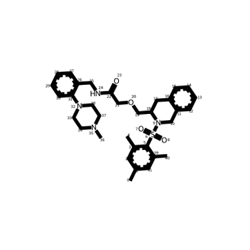 Cc1cc(C)c(S(=O)(=O)N2Cc3ccccc3CC2COCC(=O)NCc2ccccc2N2CCN(C)CC2)c(C)c1